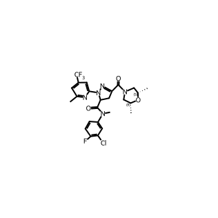 Cc1cc(C(F)(F)F)cc(N2N=C(C(=O)N3C[C@@H](C)O[C@@H](C)C3)CC2C(=O)N(C)c2ccc(F)c(Cl)c2)n1